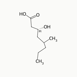 CCCC(C)C[C@@H](O)CC(=O)O